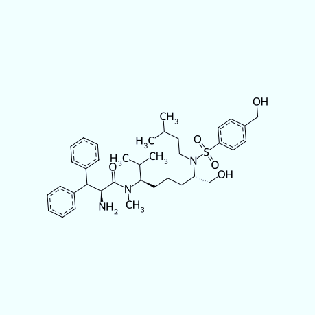 CC(C)CCN([C@H](CO)CCC[C@H](C(C)C)N(C)C(=O)[C@@H](N)C(c1ccccc1)c1ccccc1)S(=O)(=O)c1ccc(CO)cc1